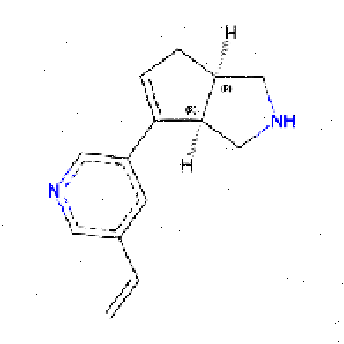 C=Cc1cncc(C2=CC[C@H]3CNC[C@@H]23)c1